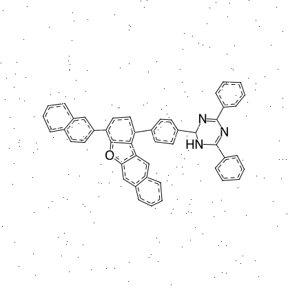 c1ccc(C2=NC(c3ccc(-c4ccc(-c5ccc6ccccc6c5)c5oc6cc7ccccc7cc6c45)cc3)NC(c3ccccc3)=N2)cc1